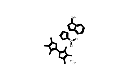 CC1=C(C)C(C)=C(C2=C(C)C(C)=C(C)C2)C1.[Cl-].[Cl-].[Cl][Zr]([Cl])[C]1=CC=CC1.[Zr+2][CH]1C=Cc2ccccc21